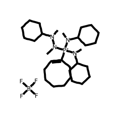 CN(C1CCCCC1)N(C)[P+](C1=CCCCCCC1)(N(C)C1CCCCC1)N(C)C1CCCCC1.F[B-](F)(F)F